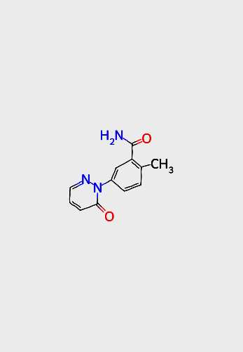 Cc1ccc(-n2ncccc2=O)cc1C(N)=O